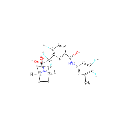 Cc1cc(NC(=O)c2ccc(F)c(C(F)(F)C(=O)N3[C@@H]4CC[C@H]3CC(O)C4)c2)cc(F)c1F